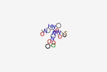 CC(=O)N1CCC(C(NC2CCCCC2)C(=O)N2CCN(C(=O)Oc3ccccc3Cl)C[C@H]2C(=O)NCc2cccs2)CC1